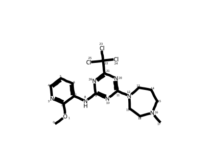 COc1ncccc1Nc1nc(N2CCCN(C)CC2)nc(C(Cl)(Cl)Cl)n1